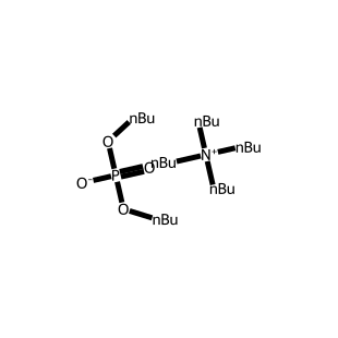 CCCCOP(=O)([O-])OCCCC.CCCC[N+](CCCC)(CCCC)CCCC